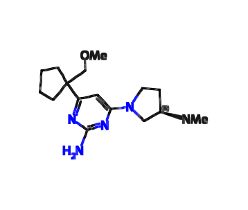 CN[C@@H]1CCN(c2cc(C3(COC)CCCC3)nc(N)n2)C1